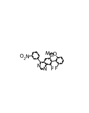 COc1cccc(F)c1-c1c(Cl)cc2c(-c3cccc([N+](=O)[O-])c3)ncnc2c1F